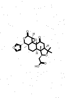 CC1(C)O[C@@H](CC(=O)O)[C@]2(C)[C@H]3CC[C@@]4(C)[C@H](c5ccoc5)OC(=O)[C@H]5O[C@]54[C@]3(C)C(=O)C[C@@H]12